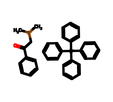 C[S+](C)CC(=O)c1ccccc1.c1ccc([B-](c2ccccc2)(c2ccccc2)c2ccccc2)cc1